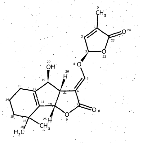 CC1=C[C@H](O/C=C2/C(=O)O[C@@H]3C4=C(CCCC4(C)C)[C@@H](O)[C@H]23)OC1=O